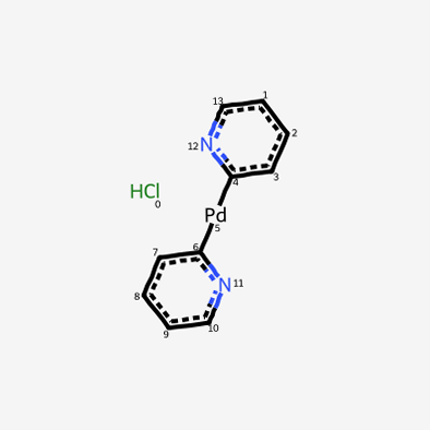 Cl.c1cc[c]([Pd][c]2ccccn2)nc1